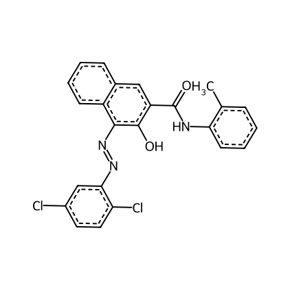 Cc1ccccc1NC(=O)c1cc2ccccc2c(N=Nc2cc(Cl)ccc2Cl)c1O